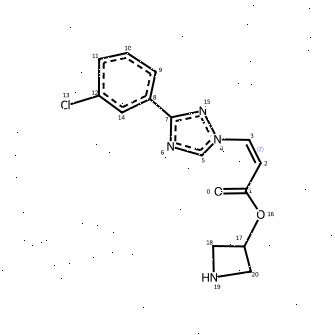 O=C(/C=C\n1cnc(-c2cccc(Cl)c2)n1)OC1CNC1